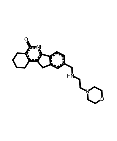 O=c1[nH]c2c(c3c1CCCC3)Cc1cc(CNCCN3CCOCC3)ccc1-2